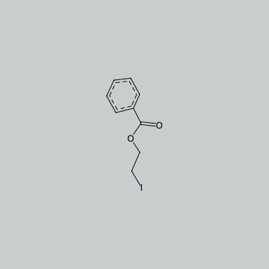 O=C(OCCI)c1ccccc1